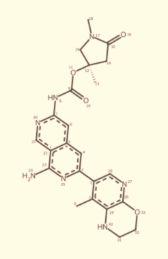 Cc1c(-c2cc3cc(NC(=O)O[C@]4(C)CC(=O)N(C)C4)ncc3c(N)n2)cnc2c1NCCO2